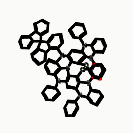 c1ccc(N2c3ccccc3B3c4ccccc4Oc4c3c2cc2c4B3c4c(cccc4N(c4cccc5c4-c4ccccc4C54c5ccccc5-c5ccccc54)c4cc5c6c(c43)Oc3ccccc3B6c3ccccc3N5c3ccccc3)N2c2ccccc2)cc1